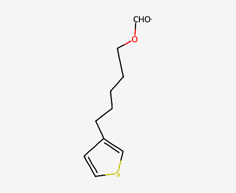 O=[C]OCCCCCc1ccsc1